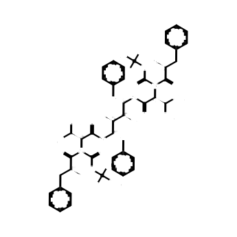 CC(C)[C@@H](C(=O)N[C@@H](Cc1ccccc1)[C@@H](O)[C@H](O)[C@H](Cc1ccccc1)NC(=O)[C@H](C(C)C)N(C(=O)OC(C)(C)C)C(=O)[C@@H](N)Cc1ccccc1)N(C(=O)OC(C)(C)C)C(=O)[C@@H](N)Cc1ccccc1